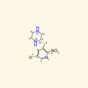 O=[N+]([O-])c1ncc(Br)cc1C[C@H]1CNCCN1